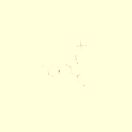 CC(C)(C)OC(=O)NC(=Nc1cccc(N)c1)NC(=O)OC(C)(C)C